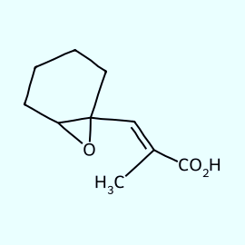 CC(=CC12CCCCC1O2)C(=O)O